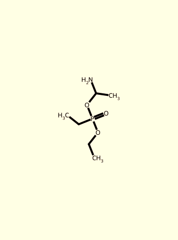 CCOP(=O)(CC)OC(C)N